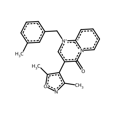 Cc1cccc(C[n+]2cc(-c3c(C)noc3C)c(=O)n3ccccc32)c1